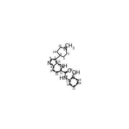 CN1CCC(c2cnc3ccc(C(=O)Nc4ccccc4O)[nH]c2-3)CC1